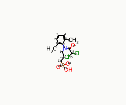 Cc1cccc(C)c1N(CCCS(=O)(=O)O)C(=O)C(Cl)Cl